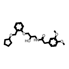 COc1ccc(CC(=O)NCC(O)COc2ccccc2COC2CCCC2)cc1OC